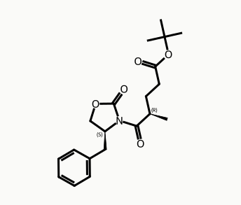 C[C@H](CCC(=O)OC(C)(C)C)C(=O)N1C(=O)OC[C@@H]1Cc1ccccc1